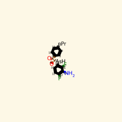 CCCc1ccc(S(=O)(=O)[AsH]c2ccc(F)c(N)c2F)cc1